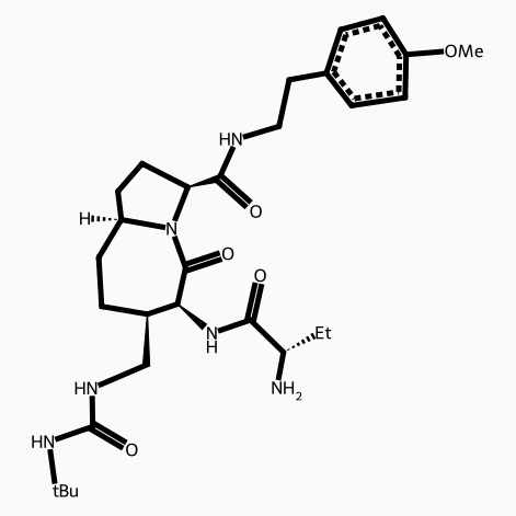 CC[C@H](N)C(=O)N[C@@H]1C(=O)N2[C@@H](CC[C@@H]1CNC(=O)NC(C)(C)C)CC[C@H]2C(=O)NCCc1ccc(OC)cc1